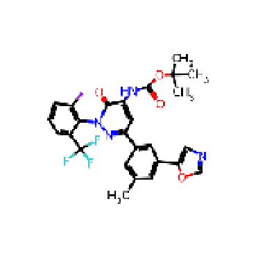 Cc1cc(-c2cc(NC(=O)OC(C)(C)C)c(=O)n(-c3c(I)cccc3C(F)(F)F)n2)cc(-c2cnco2)c1